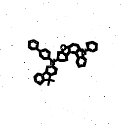 CC1(C)c2ccccc2-c2cc(N(c3ccc(-c4ccccc4)cc3)c3ccc4c(c3)oc3ccc5c(c6ccccc6n5-c5ccccc5)c34)ccc21